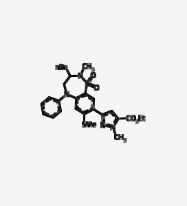 CCCCC1CN(c2ccccc2)c2cc(SC)c(-c3cc(C(=O)OCC)n(C)n3)cc2S(=O)(=O)N1C